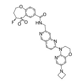 O=C(NCc1cc2nc(N3CCOc4cc(N5CCC5)cnc43)ccc2cn1)c1ccc2c(c1)S(=O)(=O)[C@@H](F)CCO2